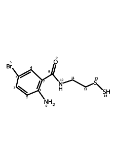 Nc1ccc(Br)cc1C(=O)NCCSS